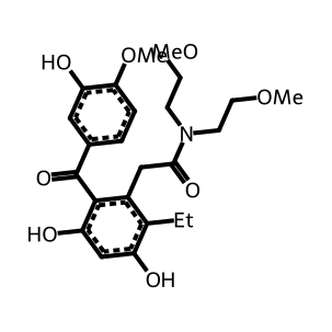 CCc1c(O)cc(O)c(C(=O)c2ccc(OC)c(O)c2)c1CC(=O)N(CCOC)CCOC